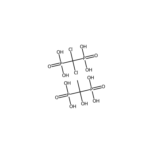 CC(O)(P(=O)(O)O)P(=O)(O)O.O=P(O)(O)C(Cl)(Cl)P(=O)(O)O